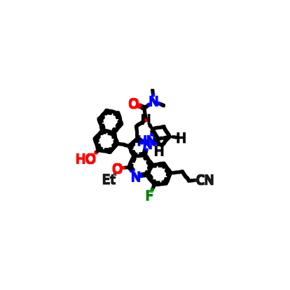 CCOc1nc2c(F)cc(CCC#N)cc2c2c1c(-c1cc(O)cc3ccccc13)c(CCC(=O)N(C)C)n2[C@H]1[C@H]2CN[C@@H]1C2